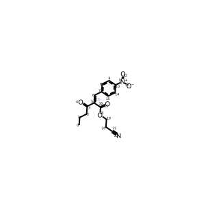 CCCC(=O)/C(=C/c1ccc([N+](=O)[O-])cc1)C(=O)OCCC#N